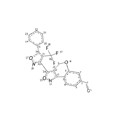 O=Cc1ccc2c(c1)OCc1c-2noc1-c1noc(-c2ccccc2)c1C(F)(F)F